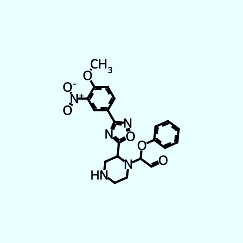 COc1ccc(-c2noc(C3CNCCN3C(C=O)Oc3ccccc3)n2)cc1[N+](=O)[O-]